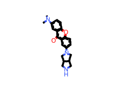 CN(C)c1ccc2oc3ccc(N4CC5CNCC5C4)cc3c(=O)c2c1